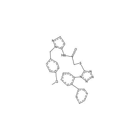 COc1ccc(Cn2nccc2NC(=O)CSc2nnnn2-c2ccccc2-c2ccccc2)cc1